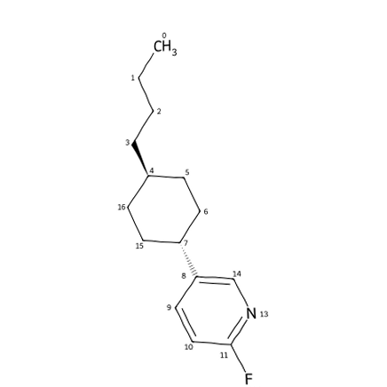 CCCC[C@H]1CC[C@H](c2ccc(F)nc2)CC1